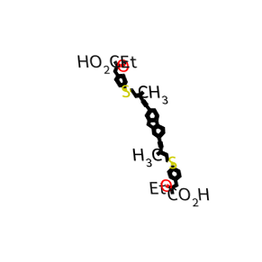 CCOC(Cc1ccc(SCC=C(C)C#Cc2ccc3c(c2)Cc2cc(C#CC(C)=CCSc4ccc(CC(OCC)C(=O)O)cc4)ccc2-3)cc1)C(=O)O